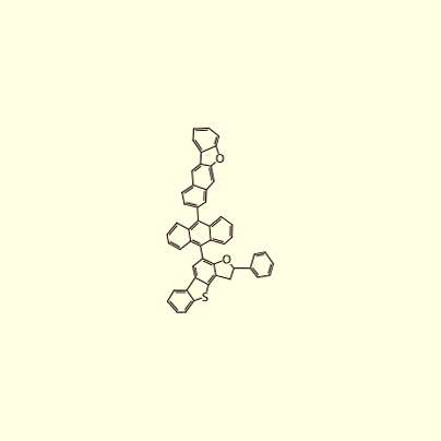 c1ccc(C2Cc3c(c(-c4c5ccccc5c(-c5ccc6cc7c(cc6c5)oc5ccccc57)c5ccccc45)cc4c3sc3ccccc34)O2)cc1